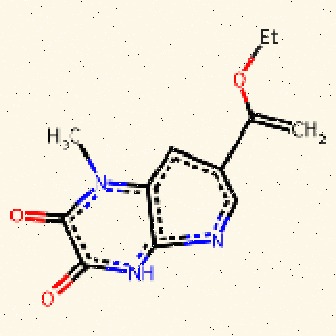 C=C(OCC)c1cnc2[nH]c(=O)c(=O)n(C)c2c1